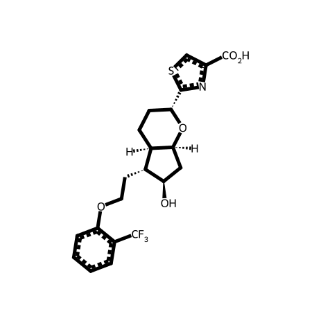 O=C(O)c1csc([C@H]2CC[C@@H]3[C@@H](CCOc4ccccc4C(F)(F)F)[C@H](O)C[C@@H]3O2)n1